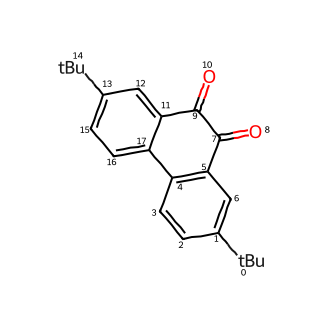 CC(C)(C)c1ccc2c(c1)C(=O)C(=O)c1cc(C(C)(C)C)ccc1-2